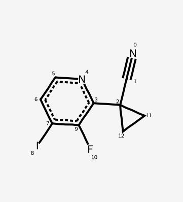 N#CC1(c2nccc(I)c2F)CC1